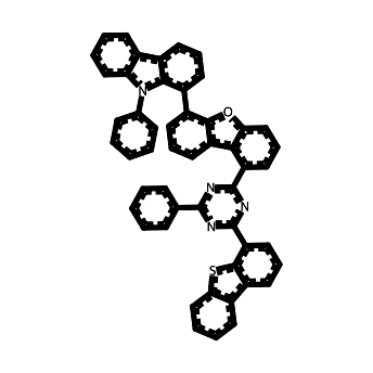 c1ccc(-c2nc(-c3cccc4c3sc3ccccc34)nc(-c3cccc4oc5c(-c6cccc7c8ccccc8n(-c8ccccc8)c67)cccc5c34)n2)cc1